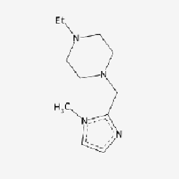 CCN1CCN(Cc2nccn2C)CC1